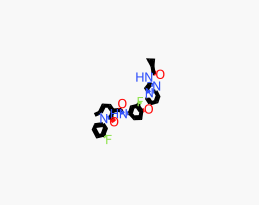 Cc1ccc(C(=O)Nc2ccc(Oc3ccc4nc(NC(=O)C5CC5)cn4c3)c(F)c2)c(=O)n1-c1cccc(F)c1